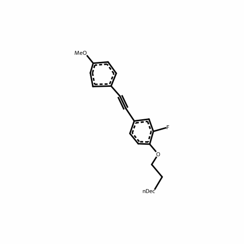 CCCCCCCCCCCCOc1ccc(C#Cc2ccc(OC)cc2)cc1F